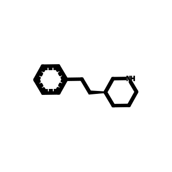 c1ccc(CC[C@@H]2CCCNC2)cc1